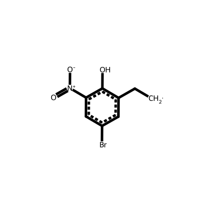 [CH2]Cc1cc(Br)cc([N+](=O)[O-])c1O